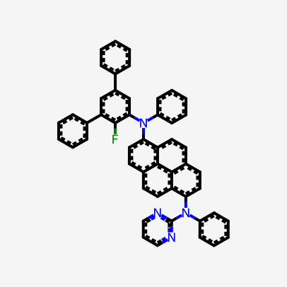 Fc1c(-c2ccccc2)cc(-c2ccccc2)cc1N(c1ccccc1)c1ccc2ccc3c(N(c4ccccc4)c4ncccn4)ccc4ccc1c2c43